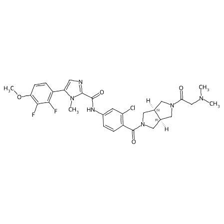 COc1ccc(-c2cnc(C(=O)Nc3ccc(C(=O)N4C[C@H]5CN(C(=O)CN(C)C)C[C@H]5C4)c(Cl)c3)n2C)c(F)c1F